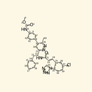 COC(=O)Nc1ccc(-c2cc(C(Cc3ccccc3)NC(=O)C=Cc3cc(Cl)ccc3-n3cnnn3)nnc2C)cc1